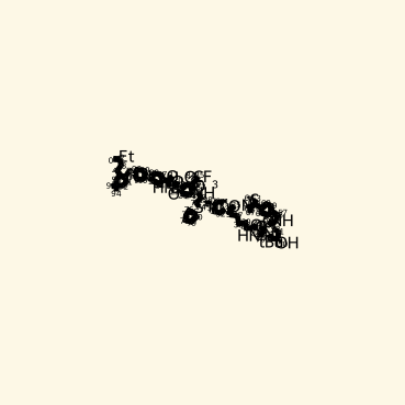 C=C(CC)CCC1=C(CN2CCN(c3ccc(C(=O)NS(=O)(=O)c4ccc(N[C@H](CCN5CCN(C(=O)CCCCCC(=O)NC(C(=O)N6C[C@H](O)C[C@H]6C(=O)N[C@@H](C)c6ccc(-c7scnc7C)cc6)C(C)(C)C)CC5)CSc5ccccc5)c(S(=O)(=O)C(F)(F)F)c4)cc3)CC2)CCC(C)(C)C1